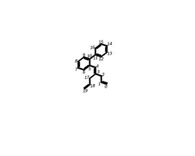 C=CCC(=Cc1ccccc1-c1ccccc1)CC=C